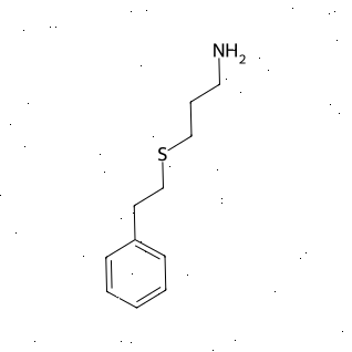 NCCCSCCc1ccccc1